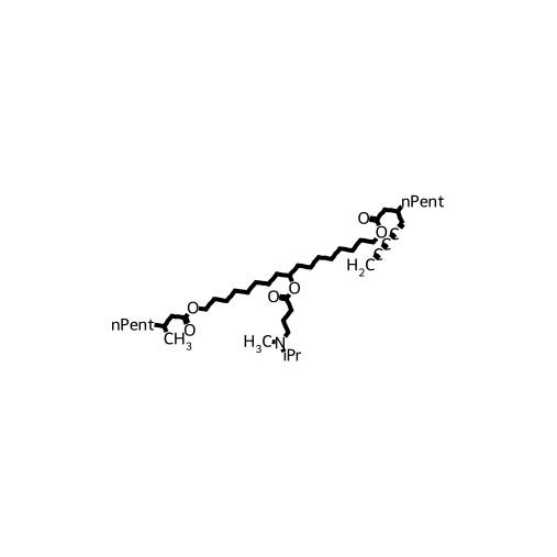 C=C=C=C=CC(CCCCC)CC(=O)OCCCCCCCCC(CCCCCCCCOC(=O)CC(C)CCCCC)OC(=O)CCCN(C)C(C)C